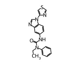 CCN(C(=O)Nc1ccc2c(c1)ncn2-c1cscn1)c1ccccc1